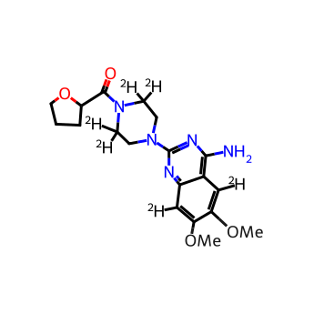 [2H]c1c(OC)c(OC)c([2H])c2c(N)nc(N3CC([2H])([2H])N(C(=O)C4CCCO4)C([2H])([2H])C3)nc12